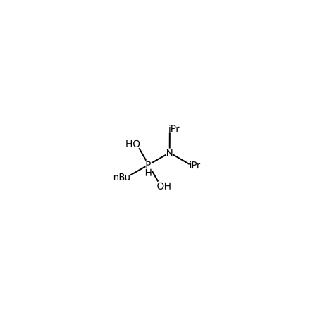 CCCC[PH](O)(O)N(C(C)C)C(C)C